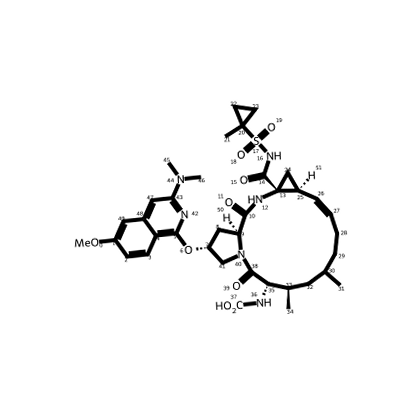 COc1ccc2c(O[C@@H]3C[C@H]4C(=O)N[C@]5(C(=O)NS(=O)(=O)C6(C)CC6)C[C@H]5/C=C\CCC(C)C[C@@H](C)[C@H](NC(=O)O)C(=O)N4C3)nc(N(C)C)cc2c1